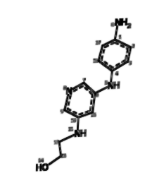 Nc1ccc(Nc2cncc(NCCO)c2)cc1